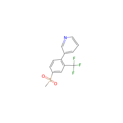 CS(=O)(=O)c1ccc(-c2cccnc2)c(C(F)(F)F)c1